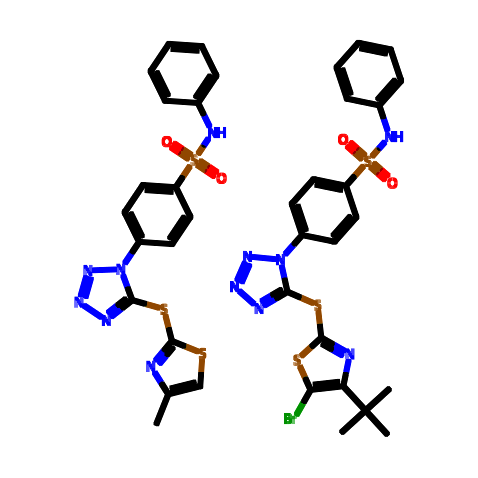 CC(C)(C)c1nc(Sc2nnnn2-c2ccc(S(=O)(=O)Nc3ccccc3)cc2)sc1Br.Cc1csc(Sc2nnnn2-c2ccc(S(=O)(=O)Nc3ccccc3)cc2)n1